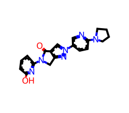 O=C1c2cn(-c3ccc(N4CCCC4)nc3)nc2CN1c1cccc(O)n1